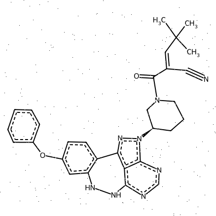 CC(C)(C)/C=C(\C#N)C(=O)N1CCC[C@@H](n2nc3c4c(ncnc42)NNc2cc(Oc4ccccc4)ccc2-3)C1